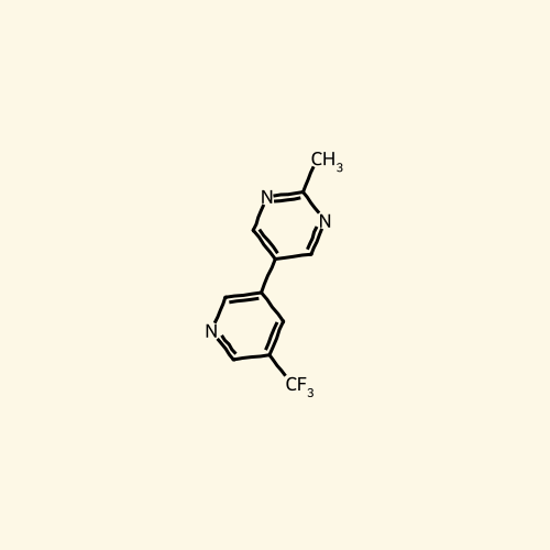 Cc1ncc(-c2cncc(C(F)(F)F)c2)cn1